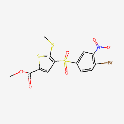 COC(=O)c1cc(S(=O)(=O)c2ccc(Br)c([N+](=O)[O-])c2)c(SC)s1